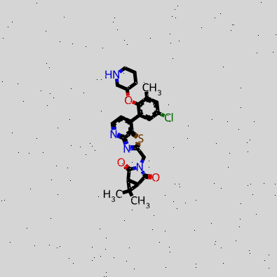 Cc1cc(Cl)cc(-c2ccnc3nc(CN4C(=O)C5C(C4=O)C5(C)C)sc23)c1OC1CCCNC1